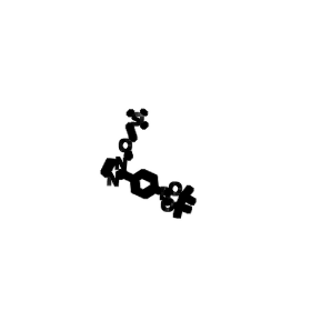 CC1(C)OB(c2ccc(-c3nccn3COCC[Si](C)(C)C)cc2)OC1(C)C